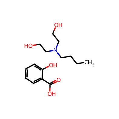 CCCCN(CCO)CCO.O=C(O)c1ccccc1O